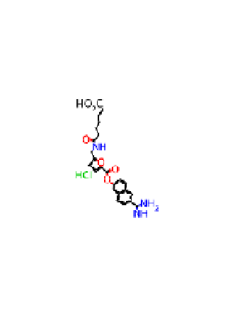 Cl.N=C(N)c1ccc2cc(OC(=O)c3ccc(CNC(=O)CCCCCC(=O)O)o3)ccc2c1